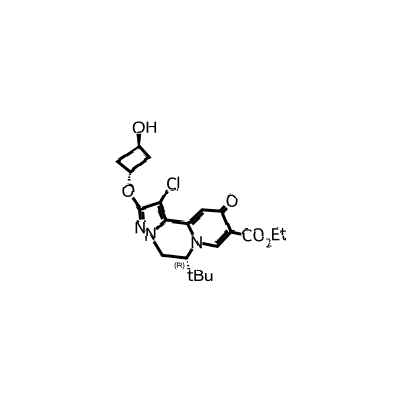 CCOC(=O)c1cn2c(cc1=O)-c1c(Cl)c(O[C@H]3C[C@H](O)C3)nn1C[C@H]2C(C)(C)C